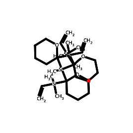 C=C[Si](C)(C)C1([Si](C)(C2([Si](C)(C)C=C)CCCCO2)C2([Si](C)(C)C=C)CCCCO2)CCCCO1